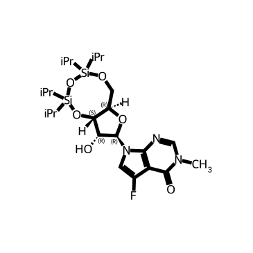 CC(C)[Si]1(C(C)C)OC[C@H]2O[C@@H](n3cc(F)c4c(=O)n(C)cnc43)[C@H](O)[C@@H]2O[Si](C(C)C)(C(C)C)O1